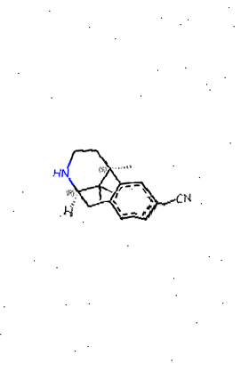 CC1(C)[C@H]2Cc3ccc(C#N)cc3[C@]1(C)CCN2